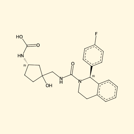 O=C(O)N[C@H]1CCC(O)(CNC(=O)N2CCc3ccccc3[C@@H]2c2ccc(F)cc2)C1